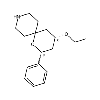 CCO[C@@H]1C[C@H](c2ccccc2)OC2(CCNCC2)C1